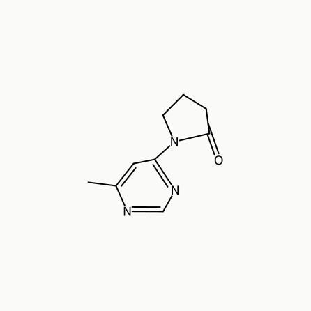 Cc1cc(N2CCCC2=O)ncn1